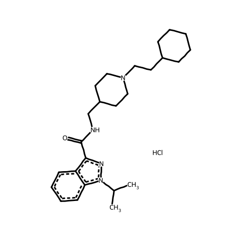 CC(C)n1nc(C(=O)NCC2CCN(CCC3CCCCC3)CC2)c2ccccc21.Cl